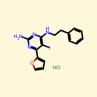 Cl.Nc1nc(NCCc2ccccc2)c(I)c(-c2ccco2)n1